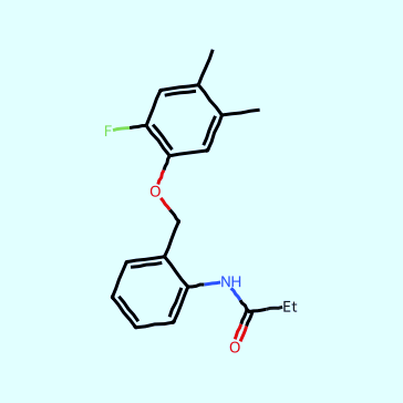 CCC(=O)Nc1ccccc1COc1cc(C)c(C)cc1F